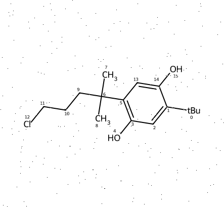 CC(C)(C)c1cc(O)c(C(C)(C)CCCCl)cc1O